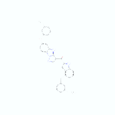 COc1cccc(Cc2cccc3[nH]c(C(=O)c4cnn5c4[nH]c4cc(Oc6cccc(C#N)c6)ccc45)cc23)c1